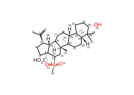 C=C(C)[C@@H]1CC[C@]2(C(=O)O)C(S(C)(=O)=O)C[C@]3(C)[C@H](CC[C@@H]4[C@@]5(C)CC[C@H](O)C(C)(C)[C@@H]5CC[C@]43C)[C@@H]12